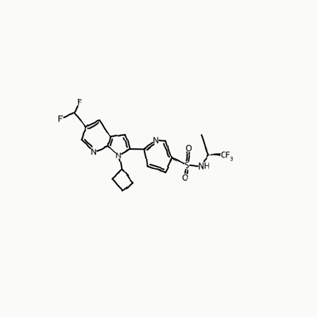 C[C@H](NS(=O)(=O)c1ccc(-c2cc3cc(C(F)F)cnc3n2C2CCC2)nc1)C(F)(F)F